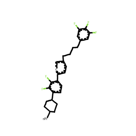 CCCC1CCC(c2ccc(-c3ccc(CCCCc4cc(F)c(F)c(F)c4)cc3)c(F)c2F)CC1